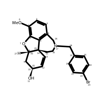 COc1ccc2c3c1O[C@H]1C[C@H](O)C=C[C@@]31CCN(Cc1ccc(Br)cc1)C2